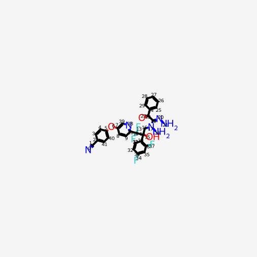 N#Cc1ccc(Oc2ccc(C(F)(F)C(O)(CN(N)/C(=N\N)C(=O)c3ccccc3)c3ccc(F)cc3F)nc2)cc1